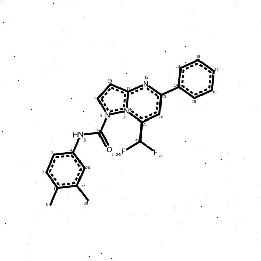 Cc1ccc(NC(=O)n2ccc3nc(-c4ccccc4)cc(C(F)F)[n+]32)cc1C